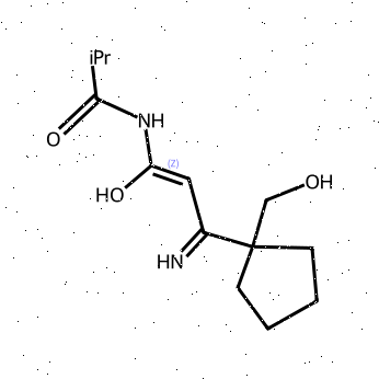 CC(C)C(=O)N/C(O)=C/C(=N)C1(CO)CCCC1